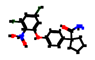 NC(=O)C1(c2ccc(Oc3cc(F)cc(F)c3[N+](=O)[O-])cc2)CCCC1